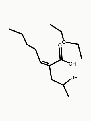 CCCCC=C(CC(C)O)C(=O)O.CCOCC